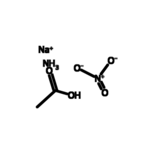 CC(=O)O.N.O=[N+]([O-])[O-].[Na+]